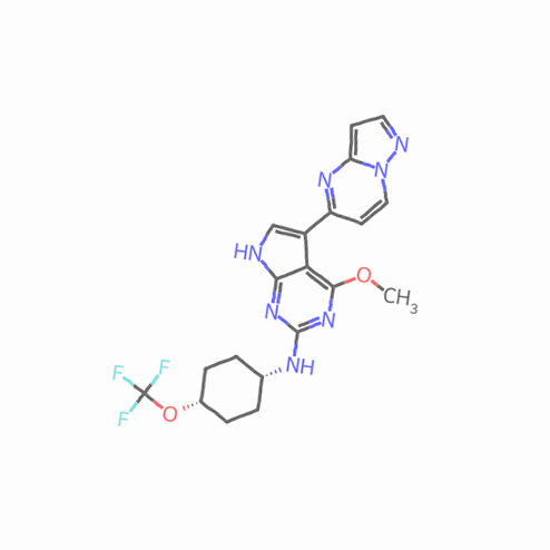 COc1nc(N[C@H]2CC[C@@H](OC(F)(F)F)CC2)nc2[nH]cc(-c3ccn4nccc4n3)c12